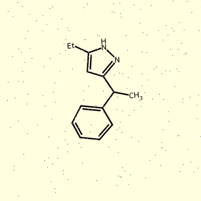 [CH2]Cc1cc(C(C)c2ccccc2)n[nH]1